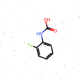 O=C(O)Nc1ccccc1F